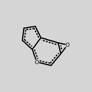 c1cc2occ3c(c-2c1)O3